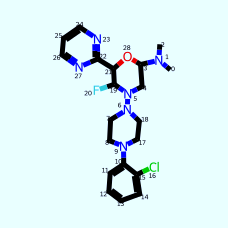 CN(C)C1CN(N2CCN(c3ccccc3Cl)CC2)C(F)C(c2ncccn2)O1